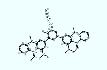 CC=[N+](c1ccccn1)c1c(C(C)C)cc(-c2ccc(C)c(-c3cc(C(C)C)c([N+](=CC)c4ccccn4)c(C(C)C)c3)c2)cc1C(C)C.[Br-].[Br-].[Br-].[Br-].[Cu].[Cu]